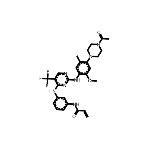 C=CC(=O)Nc1cccc(Nc2nc(Nc3cc(C)c(N4CCN(C(C)=O)CC4)cc3OC)ncc2C(F)(F)F)c1